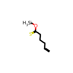 C=CCCCC(=S)O[SiH3]